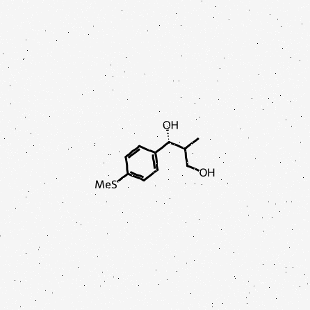 CSc1ccc([C@H](O)C(C)CO)cc1